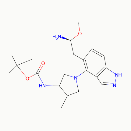 CO[C@H](N)Cc1ccc2[nH]ncc2c1N1CC(C)C(NC(=O)OC(C)(C)C)C1